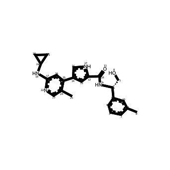 Cc1cccc([C@@H](CO)NC(=O)c2cc(-c3cc(NC4CC4)ncc3C)c[nH]2)c1